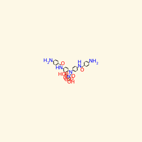 Nc1ccc(C(=O)Nc2ccc(N(C(=O)N(S(=O)(=O)O)S(=O)(=O)O)c3ccc(NC(=O)c4ccc(N)cc4)cc3)cc2)cc1